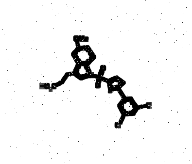 COc1ccc2c(c1)c(CCC(=O)O)cn2S(=O)(=O)c1ccc(-c2cc(Cl)cc(Cl)c2)s1